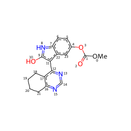 COC(=O)Oc1ccc2[nH]c(O)c(-c3ncnc4c3CCCC4)c2c1